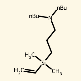 C=C[Si](C)(C)CCCN(CCCC)CCCC